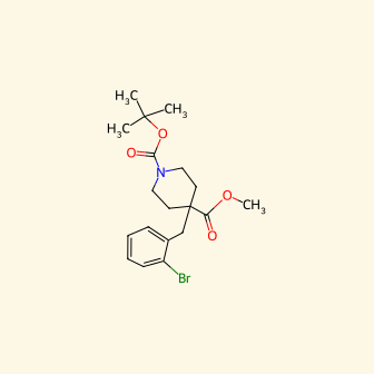 COC(=O)C1(Cc2ccccc2Br)CCN(C(=O)OC(C)(C)C)CC1